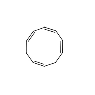 [C]1=CC=CCC=CCC=C1